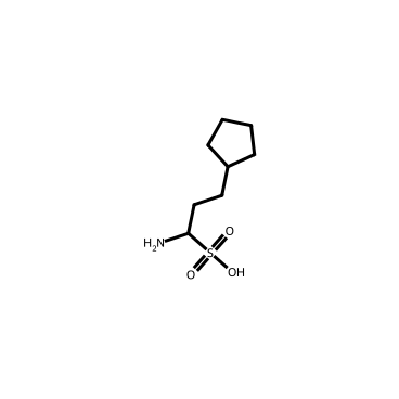 NC(CCC1CCCC1)S(=O)(=O)O